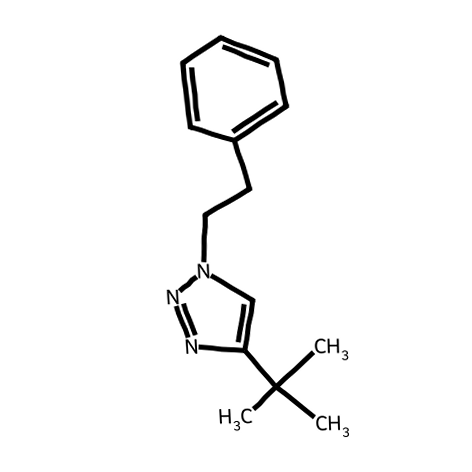 CC(C)(C)c1cn(CCc2ccccc2)nn1